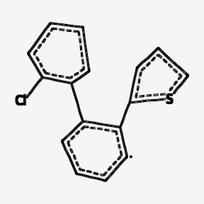 Clc1ccccc1-c1ccc[c]c1-c1cccs1